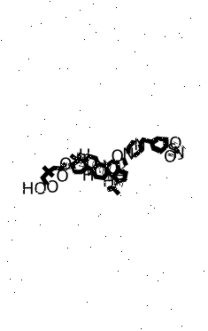 C=C(C)[C@@H]1CC[C@]2(CC(=O)N3CCN(Cc4ccc(S(=O)(=O)N(C)C)cc4)CC3)CC[C@]3(C)[C@H](CC[C@@H]4[C@@]5(C)CC[C@H](OC(=O)CC(C)(C)CC(=O)O)C(C)(C)[C@@H]5CC[C@]43C)[C@@H]12